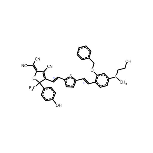 CN(CCO)c1ccc(/C=C/c2ccc(/C=C/C3=C(C#N)C(=C(C#N)C#N)OC3(c3ccc(O)cc3)C(F)(F)F)s2)c(OCc2ccccc2)c1